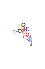 CC1CN(CC2CC2)CC(C)N1C(=O)OC[C@H]1CCC[C@@H](c2cccc(F)c2)N1S(=O)(=O)c1ccc(Cl)cc1